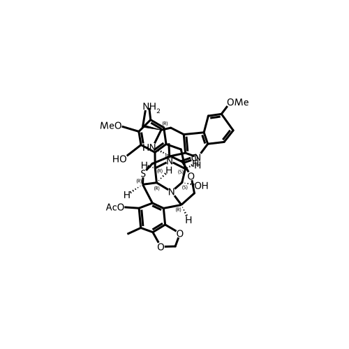 COc1ccc2[nH]c3c(c2c1)C[C@H](CN)N[C@]31CS[C@@H]2c3c(OC(C)=O)c(C)c4c(c3[C@H](COC1=O)N1[C@@H]2[C@H]2c3c(cc(C)c(OC)c3O)C[C@@H]([C@@H]1O)N2C)OCO4